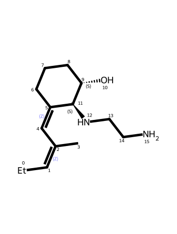 CC/C=C(C)\C=C1\CCC[C@H](O)[C@H]1NCCN